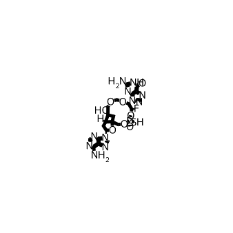 Nc1nc2c(nnn2[C@@H]2OCOCC3(O)CC4(COP(=O)(S)O[C@@H]2F)O[C@@H](n2cnc5c(N)ncnc52)C[C@H]34)c(=O)[nH]1